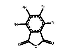 [2H]c1c([2H])c([2H])c2c(c1[2H])C(=O)OC2=O